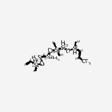 C=C[SiH](C)O[SiH2][SiH2]O[Si](C)(C)[SiH2]O[SiH](C)CCC(F)(F)F